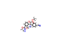 CC(C)(C)OC(=O)C(=O)C(N=C=O)(c1ccc(C#N)cc1)c1cccc(C2NCCO2)c1